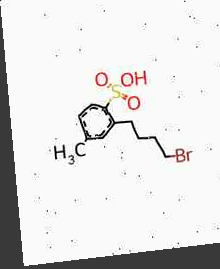 Cc1ccc(S(=O)(=O)O)c(CCCCBr)c1